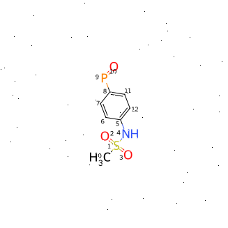 CS(=O)(=O)Nc1ccc(P=O)cc1